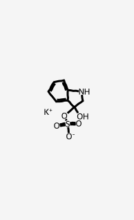 O=S(=O)([O-])OC1(O)CNc2ccccc21.[K+]